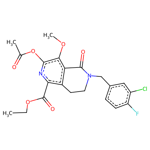 CCOC(=O)c1nc(OC(C)=O)c(OC)c2c1CCN(Cc1ccc(F)c(Cl)c1)C2=O